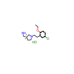 CCOc1ccc(Cl)cc1CCN1CC[C@@H](CN)C1.Cl